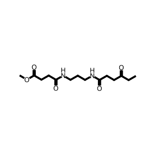 CCC(=O)CCC(=O)NCCCNC(=O)CCC(=O)OC